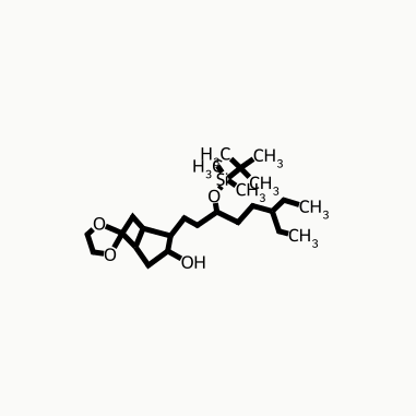 CCC(CC)CCC(CCC1C(O)CC2C1CC21OCCO1)O[Si](C)(C)C(C)(C)C